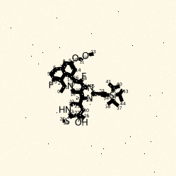 CCc1c(F)ccc2cc(OCOC)cc(-c3ncc4c(C5CNC(SC)C(C)(O)C5)nc(C#C[Si](C(C)C)(C(C)C)C(C)C)nc4c3F)c12